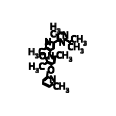 Cc1cccc(COc2cc(C)n(-c3cc(-c4nc(C(C)C)ncc4C)ncc3C)c(=O)c2C)n1